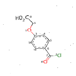 O=C(O)COc1ccc(C(=O)Cl)cc1